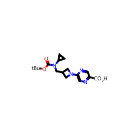 CC(C)(C)OC(=O)N(CC1CN(c2cnc(C(=O)O)cn2)C1)C1CC1